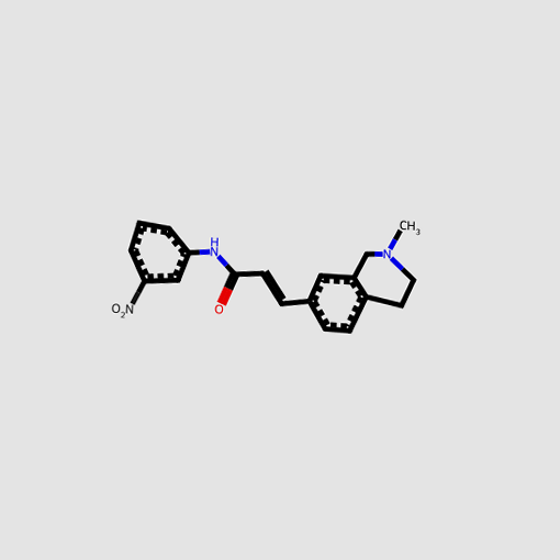 CN1CCc2ccc(C=CC(=O)Nc3cccc([N+](=O)[O-])c3)cc2C1